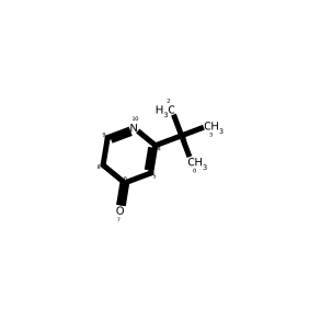 CC(C)(C)C1=CC(=O)CC=N1